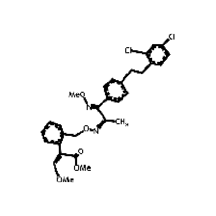 COC=C(C(=O)OC)c1ccccc1CON=C(C)C(=NOC)c1ccc(CCc2ccc(Cl)cc2Cl)cc1